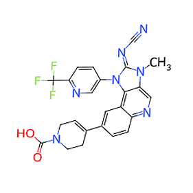 Cn1c(=NC#N)n(-c2ccc(C(F)(F)F)nc2)c2c3cc(C4=CCN(C(=O)O)CC4)ccc3ncc21